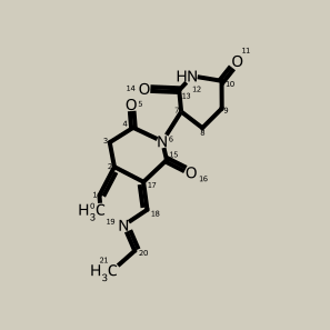 C/C=C1/CC(=O)N(C2CCC(=O)NC2=O)C(=O)/C1=C/N=C/C